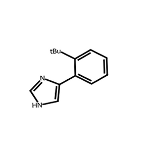 CC(C)(C)c1ccccc1-c1c[nH]cn1